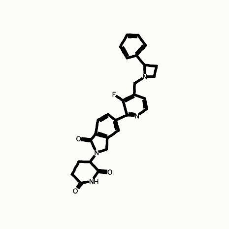 O=C1CCC(N2Cc3cc(-c4nccc(CN5CCC5c5ccccc5)c4F)ccc3C2=O)C(=O)N1